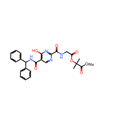 COC(=O)C(C)(C)OC(=O)CNC(=O)c1ncc(C(=O)NC(c2ccccc2)c2ccccc2)c(O)n1